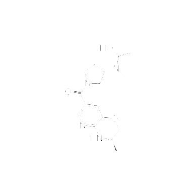 CC(O)N(C)[C@H]1CCN(C(=O)c2cnc3c(c2)OC[C@@H](C)N3)C1